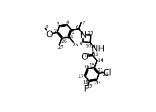 COc1ccc(C(C)N2CC(NC(=O)Cc3ccc(F)cc3Cl)C2)c(C)c1C